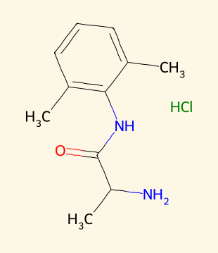 Cc1cccc(C)c1NC(=O)C(C)N.Cl